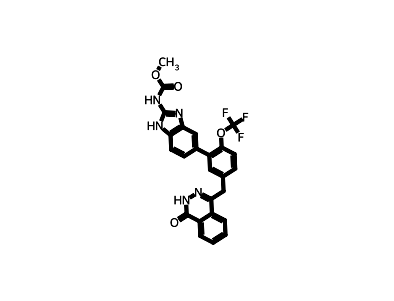 COC(=O)Nc1nc2cc(-c3cc(Cc4n[nH]c(=O)c5ccccc45)ccc3OC(F)(F)F)ccc2[nH]1